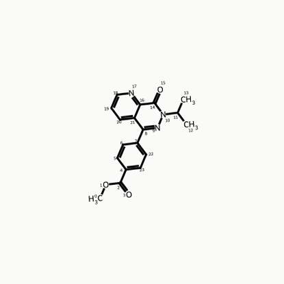 COC(=O)c1ccc(-c2nn(C(C)C)c(=O)c3ncccc23)cc1